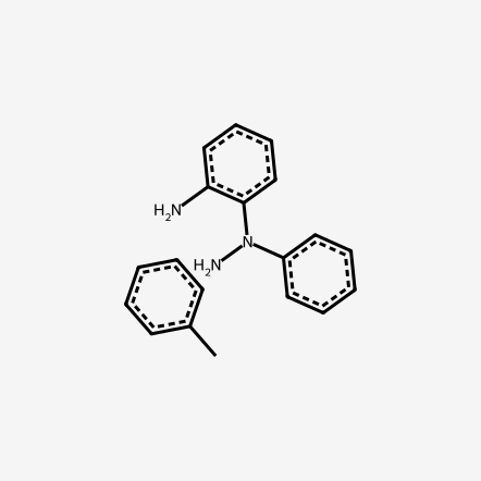 Cc1ccccc1.Nc1ccccc1N(N)c1ccccc1